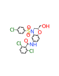 O=C(Nc1ccc2c(c1)N(S(=O)(=O)c1ccc(Cl)cc1)C[C@@H](CO)O2)c1c(Cl)cccc1Cl